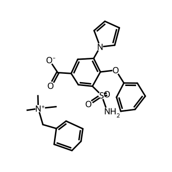 C[N+](C)(C)Cc1ccccc1.NS(=O)(=O)c1cc(C(=O)[O-])cc(-n2cccc2)c1Oc1ccccc1